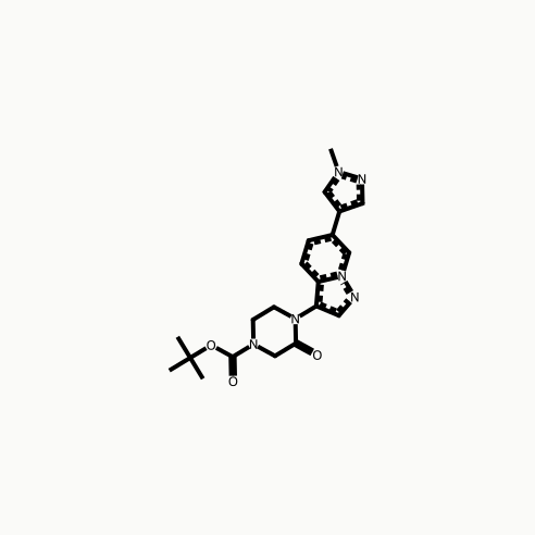 Cn1cc(-c2ccc3c(N4CCN(C(=O)OC(C)(C)C)CC4=O)cnn3c2)cn1